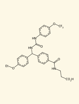 CCOc1ccc(C(NC(=O)Nc2ccc(OC(F)(F)F)cc2)c2ccc(C(=O)NCCC(=O)O)cc2)cc1